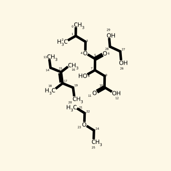 CC(C)COC(=O)C(O)CC(=O)O.CC/C(C)=C(\C)CC.CCOCC.OCCO